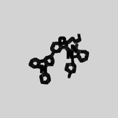 C\C=C/C=c1/oc2ccc(-c3ccc4c(c3)c3ccccc3n4-c3ccccc3)cc2/c1=C1\N=C(c2ccc(C)cc2)c2ccccc2N1C